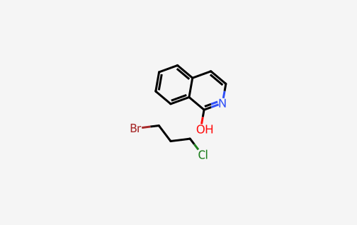 ClCCCBr.Oc1nccc2ccccc12